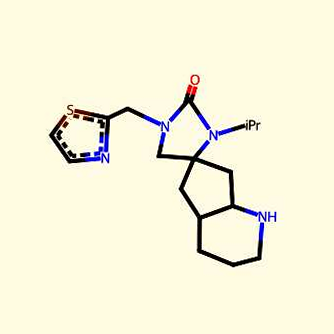 CC(C)N1C(=O)N(Cc2nccs2)CC12CC1CCCNC1C2